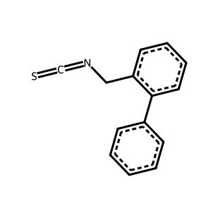 S=C=NCc1ccccc1-c1ccccc1